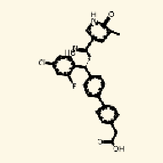 Cc1cc(/C(C[C@H](c2ccc(-c3ccc(CC(=O)O)cc3)cc2)c2ccc(Cl)cc2F)=N/O)c[nH]c1=O